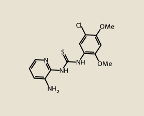 COc1cc(OC)c(NC(=S)Nc2ncccc2N)cc1Cl